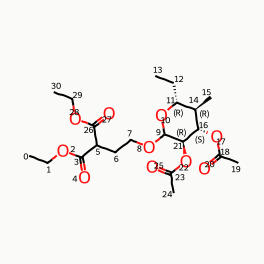 CCOC(=O)C(CCOC1O[C@H](CC)[C@@H](C)[C@H](OC(C)=O)[C@H]1OC(C)=O)C(=O)OCC